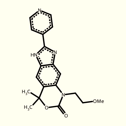 COCCN1C(=O)OC(C)(C)c2cc3[nH]c(-c4ccncc4)nc3cc21